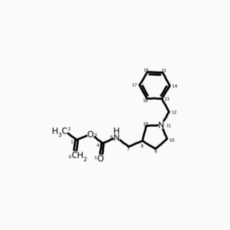 C=C(C)OC(=O)NCC1CCN(Cc2ccccc2)C1